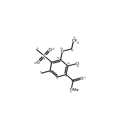 COC(=O)c1cc(C)c(S(C)(=O)=O)c(OCC(F)(F)F)c1Cl